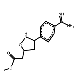 COC(=O)CC1CC(c2ccc(C(=N)N)cc2)NO1